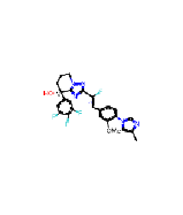 COc1cc(/C=C(\F)c2nc3n(n2)CCC[C@]3(O)c2cc(F)c(F)c(F)c2)ccc1-n1cnc(C)c1